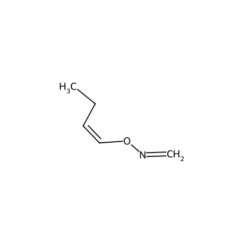 C=NO/C=C\CC